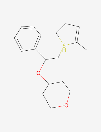 CC1=CCC[SH]1CC(OC1CCOCC1)c1ccccc1